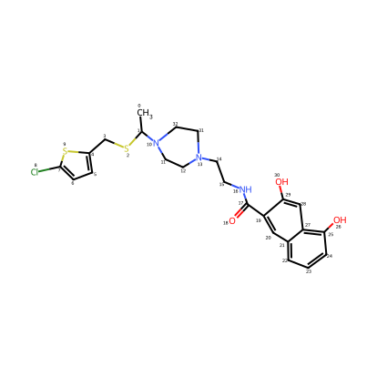 CC(SCc1ccc(Cl)s1)N1CCN(CCNC(=O)c2cc3cccc(O)c3cc2O)CC1